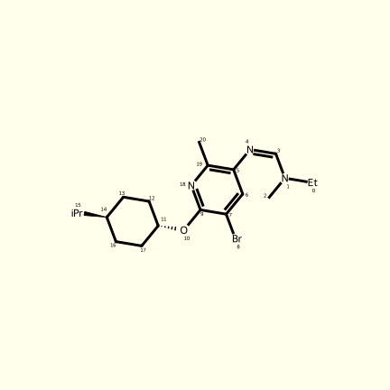 CCN(C)/C=N\c1cc(Br)c(O[C@H]2CC[C@H](C(C)C)CC2)nc1C